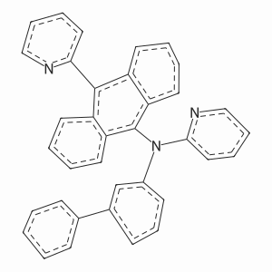 c1ccc(-c2cccc(N(c3ccccn3)c3c4ccccc4c(-c4ccccn4)c4ccccc34)c2)cc1